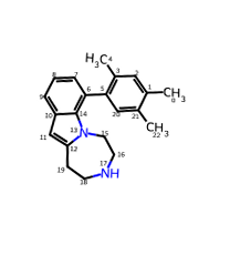 Cc1cc(C)c(-c2cccc3cc4n(c23)CCNCC4)cc1C